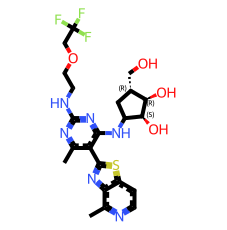 Cc1nc(NCCOCC(F)(F)F)nc(NC2C[C@H](CO)[C@@H](O)[C@H]2O)c1-c1nc2c(C)nccc2s1